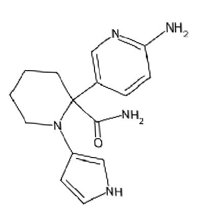 NC(=O)C1(c2ccc(N)nc2)CCCCN1c1cc[nH]c1